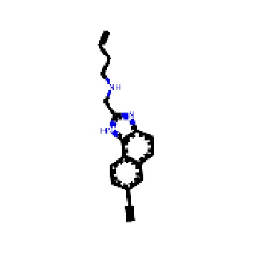 C#Cc1ccc2c(ccc3nc(CNCCC=C)[nH]c32)c1